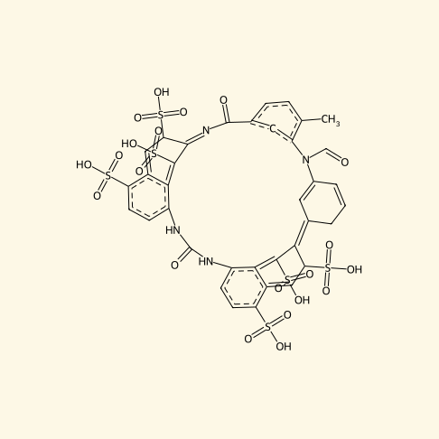 Cc1ccc2cc1N(C=O)C1=C/C(=C3\C(S(=O)(=O)O)=c4c(ccc(S(=O)(=O)O)c4=CC3S(=O)(=O)O)NC(=O)Nc3ccc(S(=O)(=O)O)c4c3=C(S(=O)(=O)O)/C(=N\C2=O)C(S(=O)(=O)O)C=4)CC=C1